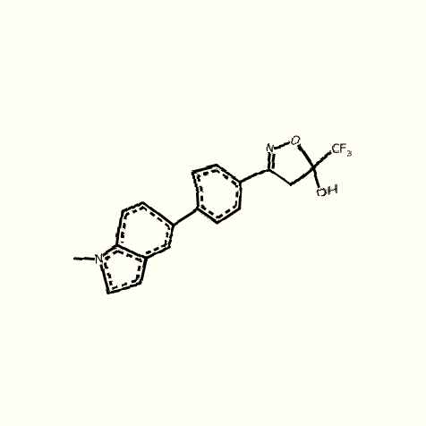 Cn1ccc2cc(-c3ccc(C4=NOC(O)(C(F)(F)F)C4)cc3)ccc21